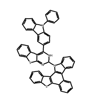 c1ccc(-n2c3ccccc3c3cc(C4=c5c(sc6ccccc56)=NC(n5c6ccccc6c6c7ccccc7c7sc8ccccc8c7c65)N4)ccc32)cc1